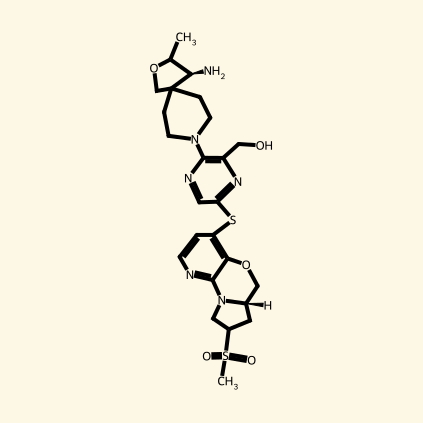 CC1OCC2(CCN(c3ncc(Sc4ccnc5c4OC[C@@H]4CC(S(C)(=O)=O)CN54)nc3CO)CC2)[C@@H]1N